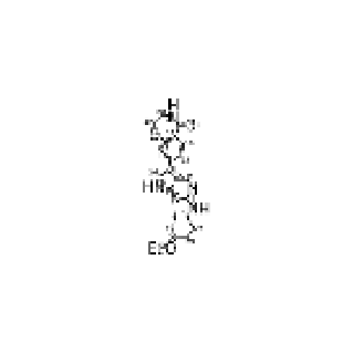 CCO[C@H]1CC[C@@H](Nc2ncc3c(-c4ccc5c(n4)OCCNC5=O)c[nH]c3n2)CC1